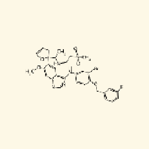 COc1cc2ncnc(Nc3ccc(OCc4cccc(F)c4)c(Br)c3)c2cc1C1(C(C)NCCS(C)(=O)=O)CC=CO1